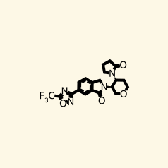 O=C1CCCN1[C@@H]1CCOC[C@H]1N1Cc2ccc(-c3noc(C(F)(F)F)n3)cc2C1=O